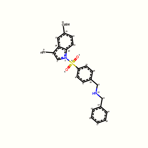 CCCc1cn(S(=O)(=O)c2ccc(CNCc3ccccc3)cc2)c2ccc(OC)cc12